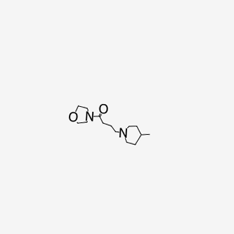 CC1CCN(CCCC(=O)N2CCOCC2)CC1